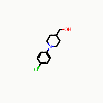 OCC1CCN(c2[c]cc(Cl)cc2)CC1